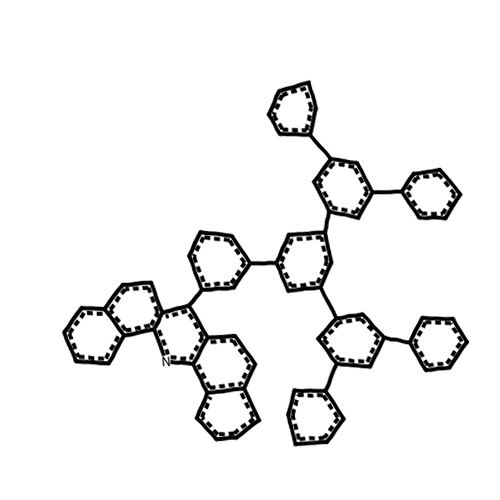 c1ccc(-c2cc(-c3ccccc3)cc(-c3cc(-c4cc(-c5ccccc5)cc(-c5ccccc5)c4)cc(-c4cccc(-c5c6ccc7ccccc7c6nc6c5ccc5ccccc56)c4)c3)c2)cc1